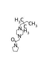 CCC(C)(C)CN1CCN(CC(=O)N2CCCC2)CC1